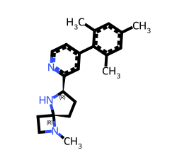 Cc1cc(C)c(-c2ccnc([C@H]3CC[C@@]4(CCN4C)N3)c2)c(C)c1